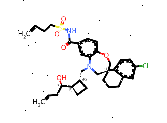 C=CCCS(=O)(=O)NC(=O)c1ccc2c(c1)N(C[C@@H]1CC[C@H]1[C@H](O)CC=C)C[C@@]1(CCCc3cc(Cl)ccc31)CO2